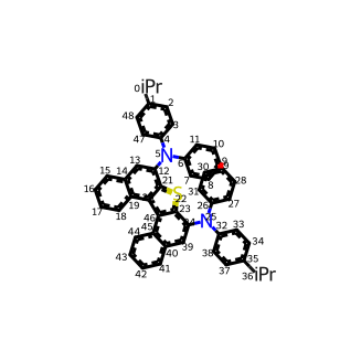 CC(C)c1ccc(N(c2ccccc2)c2cc3ccccc3c3c2sc2c(N(c4ccccc4)c4ccc(C(C)C)cc4)cc4ccccc4c23)cc1